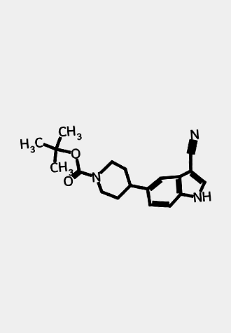 CC(C)(C)OC(=O)N1CCC(c2ccc3[nH]cc(C#N)c3c2)CC1